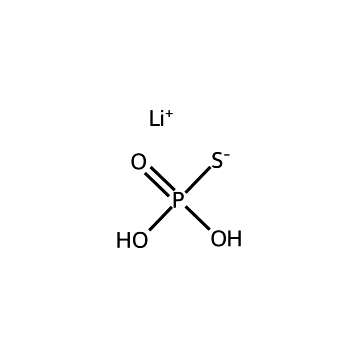 O=P(O)(O)[S-].[Li+]